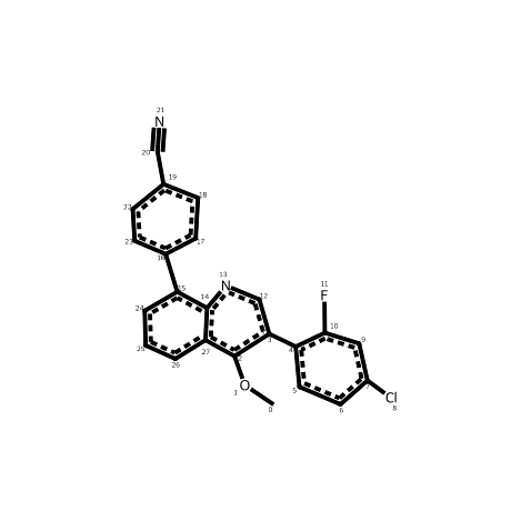 COc1c(-c2ccc(Cl)cc2F)cnc2c(-c3ccc(C#N)cc3)cccc12